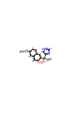 COc1ccc2cc(C(O)(c3c[nH]cn3)C(C)C)ccc2c1